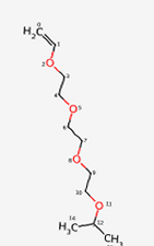 C=COCCOCCOCCO[C](C)C